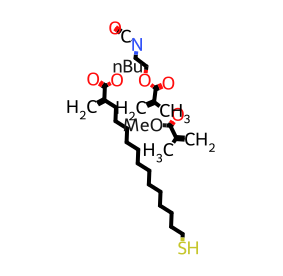 C=C(C)C(=O)OC.C=C(C)C(=O)OCCN=C=O.C=C(CCCCCCCCCCCCCS)C(=O)OCCCC